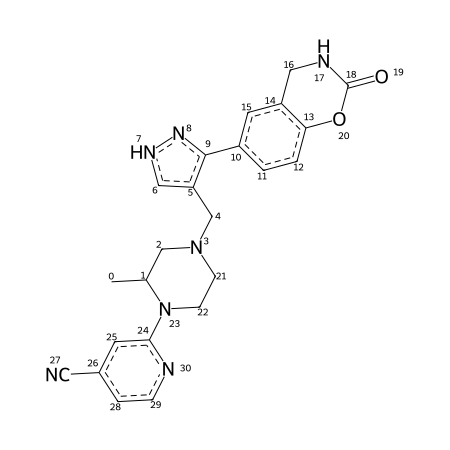 CC1CN(Cc2c[nH]nc2-c2ccc3c(c2)CNC(=O)O3)CCN1c1cc(C#N)ccn1